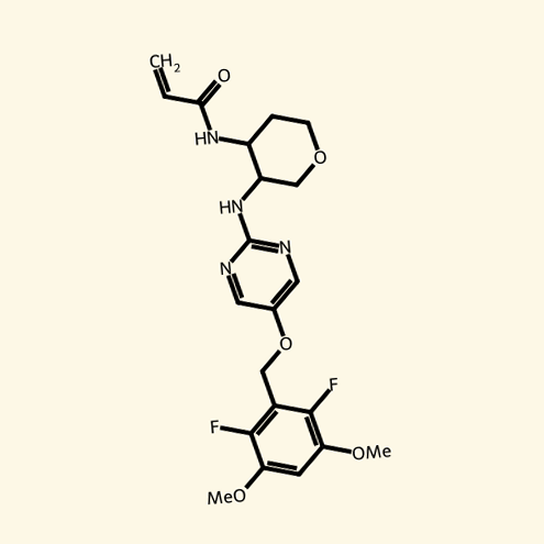 C=CC(=O)NC1CCOCC1Nc1ncc(OCc2c(F)c(OC)cc(OC)c2F)cn1